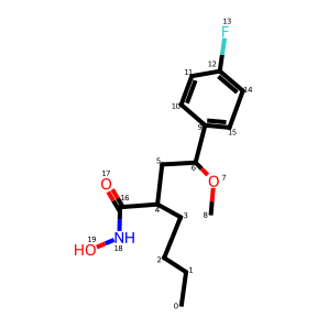 CCCCC(CC(OC)c1ccc(F)cc1)C(=O)NO